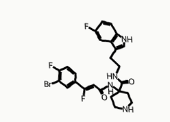 O=C(C=C(F)c1ccc(F)c(Br)c1)NC1(C(=O)NCCc2c[nH]c3ccc(F)cc23)CCNCC1